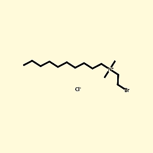 CCCCCCCCCC[N+](C)(C)CCBr.[Cl-]